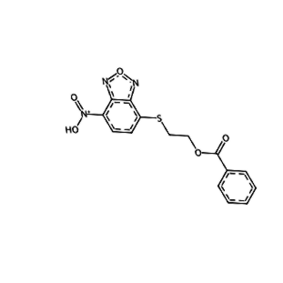 O=C(OCCSc1ccc([N+](=O)O)c2nonc12)c1ccccc1